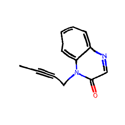 CC#CCn1c(=O)cnc2ccccc21